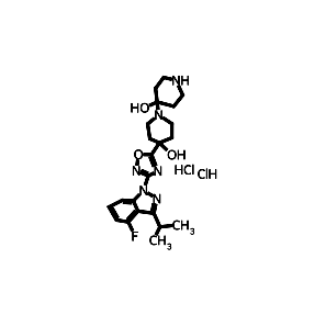 CC(C)c1nn(-c2noc(C3(O)CCN(C4(O)CCNCC4)CC3)n2)c2cccc(F)c12.Cl.Cl